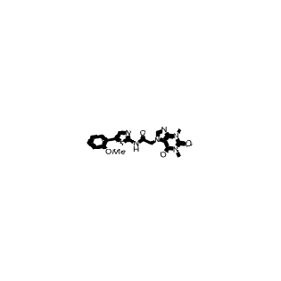 COc1ccccc1-c1cnc(NC(=O)Cn2cnc3c2c(=O)n(C)c(=O)n3C)s1